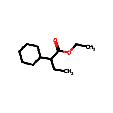 CCOC(=O)C(CC)C1CCCCC1